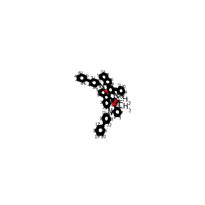 C=C/C=C\c1c(C)cccc1N(c1ccc(-c2ccccc2)cc1)c1ccc2c(c1)C1(c3cc(N(c4ccc(-c5ccccc5)cc4)c4cccc5ccccc45)ccc3-2)c2ccccc2-n2c3ccccc3c3cccc1c32